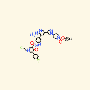 CC(C)(C)OC(=O)N1CCC(n2cc(-c3cnc(N)c(-c4ccc(NC(=O)c5cn(CCF)cc(-c6ccc(F)cc6)c5=O)cc4)c3)cn2)CC1